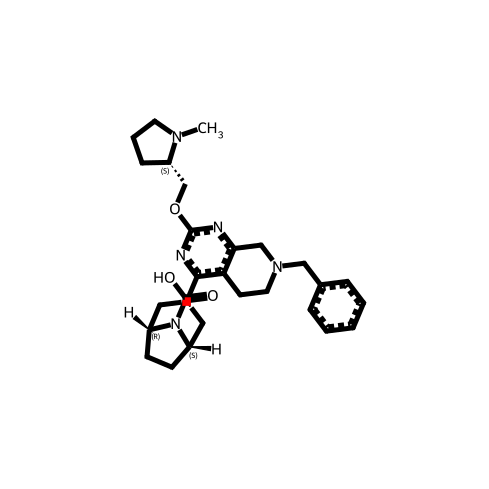 CN1CCC[C@H]1COc1nc2c(c(N3C[C@H]4CC[C@@H](C3)N4C(=O)O)n1)CCN(Cc1ccccc1)C2